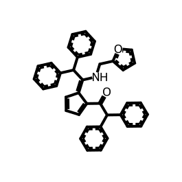 O=C(C1=CC=CC1=C(NCc1ccco1)C(c1ccccc1)c1ccccc1)C(c1ccccc1)c1ccccc1